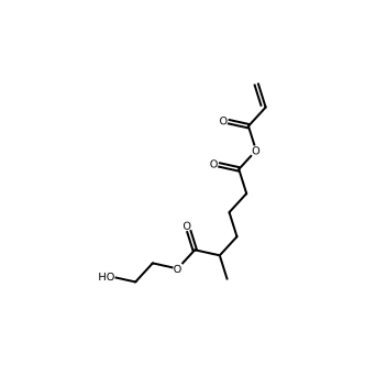 C=CC(=O)OC(=O)CCCC(C)C(=O)OCCO